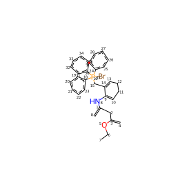 C=C(CC(=C)OCC)NC1=CCCC=C1CP(Br)(c1ccccc1)(c1ccccc1)c1ccccc1